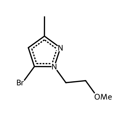 COCCn1nc(C)cc1Br